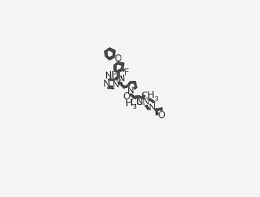 CC(C)(C=C(C#N)C(=O)N1CCCC1Cc1nc(-c2ccc(Oc3ccccc3)cc2F)c2c(N)nccn12)N1CCN(C2COC2)CC1